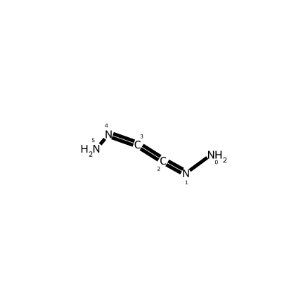 NN=C=C=NN